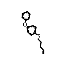 C=CCCCSc1ccc(Oc2ccccc2)cc1